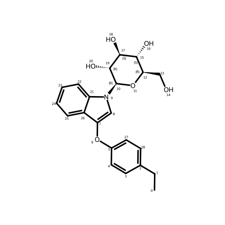 CCc1ccc(Oc2cn([C@@H]3O[C@H](CO)[C@@H](O)[C@H](O)[C@H]3O)c3ccccc23)cc1